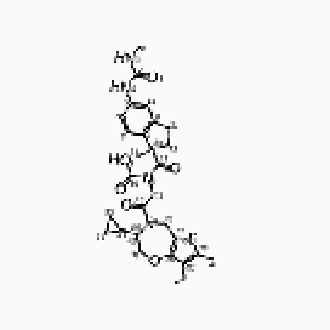 CNC(=O)Nc1ccc2c(c1)CCC2(C)C(=O)N(CC(=O)N1Cc2sc(C)c(C)c2OC[C@H]1C1CC1)C(=O)O